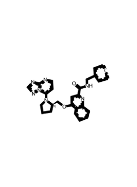 O=C(NCc1ccccc1)c1cc(OC[C@H]2CCCN2c2ccnc3ncnn23)c2ccccc2n1